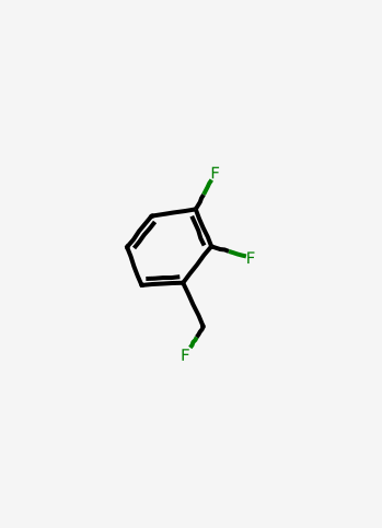 FCc1cccc(F)c1F